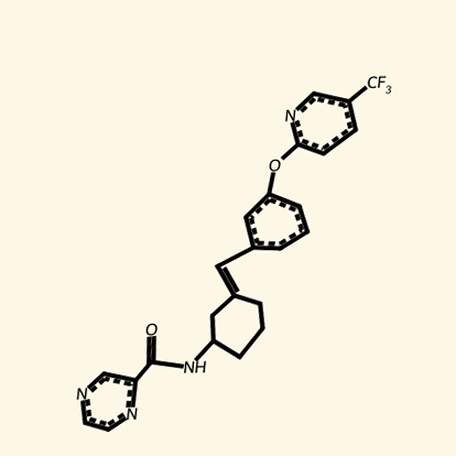 O=C(NC1CCCC(=Cc2cccc(Oc3ccc(C(F)(F)F)cn3)c2)C1)c1cnccn1